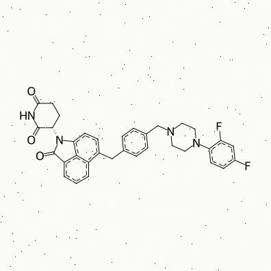 O=C1CC[C@H](N2C(=O)c3cccc4c(Cc5ccc(CN6CCN(c7ccc(F)cc7F)CC6)cc5)ccc2c34)C(=O)N1